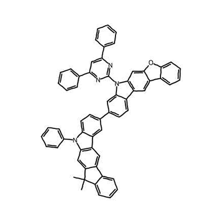 CC1(C)c2ccccc2-c2cc3c4cc(-c5ccc6c7cc8c(cc7n(-c7nc(-c9ccccc9)cc(-c9ccccc9)n7)c6c5)oc5ccccc58)ccc4n(-c4ccccc4)c3cc21